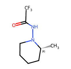 C[C@@H]1CCCCN1NC(=O)C(F)(F)F